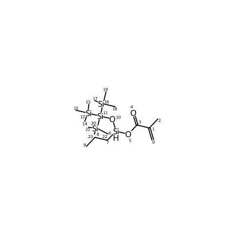 C=C(C)C(=O)O[SiH](CCC)O[Si]([Si](C)(C)C)([Si](C)(C)C)[Si](C)(C)C